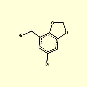 BrCc1cc(Br)cc2c1OCO2